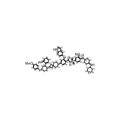 COc1ccc(CN2CCN(C3CC4(CCN(c5ccc(C(=O)NS(=O)(=O)c6ccc(NC7CCC(NC8CCOCC8)CC7)c([N+](=O)[O-])c6)c(Oc6cnc7[nH]ccc7c6)c5)CC4)C3)[C@H](c3ccccc3C(C)C)C2)cc1